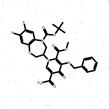 COC(=O)c1c(OCc2ccccc2)c(=O)c(C(N)=O)cn1C1COc2cc(F)c(F)cc2N(C(=O)OC(C)(C)C)C1